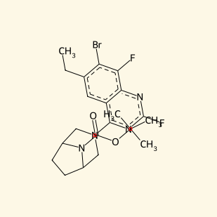 CCc1cc2c(N3CC4CCC(C3)N4C(=O)OC(C)(C)C)nc(F)nc2c(F)c1Br